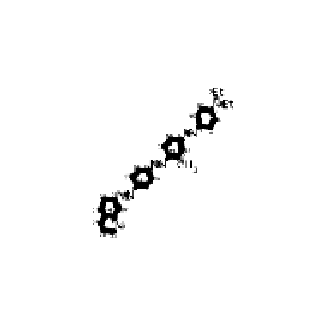 CCN(CC)c1ccc(N=Nc2ccc(N=Nc3ccc(N=Nc4ccc5cccnc5c4)cc3)c(C)c2)cc1